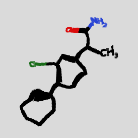 CC(C(N)=O)c1ccc(C2=CCCCC2)c(Cl)c1